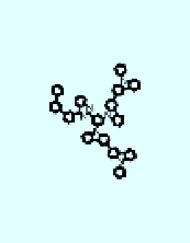 c1ccc(-c2cccc(-c3cccc(-c4nc(-c5cc(-n6c7ccccc7c7cc(-c8ccc9c(c8)c8ccccc8n9-c8ccccc8)ccc76)cc(-n6c7ccccc7c7cc(-c8ccc9c(c8)c8ccccc8n9-c8ccccc8)ccc76)c5)nc5ccccc45)c3)c2)cc1